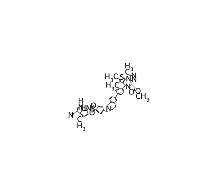 COC(=O)C[C@@H]1N=C(c2ccc(-c3ccc4c(c3)CCN(Cc3ccc(S(=O)(=O)Nc5ccc(C)c6c(C#N)c[nH]c56)cc3)C4)cc2)c2c(sc(C)c2C)-n2c(C)nnc21